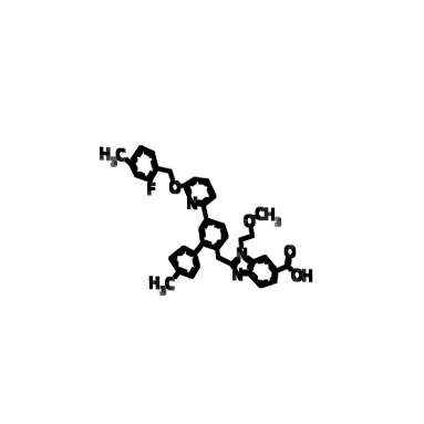 COCCn1c(Cc2ccc(-c3cccc(OCc4ccc(C)cc4F)n3)cc2-c2ccc(C)cc2)nc2ccc(C(=O)O)cc21